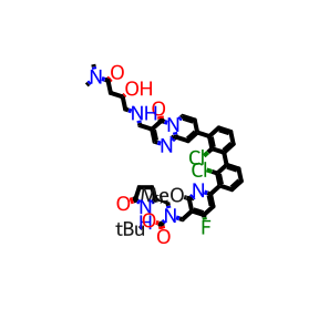 COc1nc(-c2cccc(-c3cccc(-c4ccn5c(=O)c(CNCC(O)CC(=O)N(C)C)cnc5c4)c3Cl)c2Cl)cc(F)c1CN(C[C@@H]1CCC(=O)N1)C(=O)OC(C)(C)C